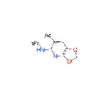 CCCNc1nc2c(cc1C(C)=O)OCO2